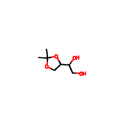 CC1(C)OCC(C(O)CO)O1